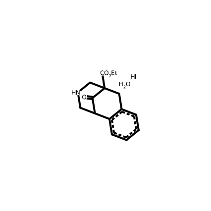 CCOC(=O)C12CNCC(C1=O)c1ccccc1C2.I.O